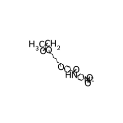 C=C(C)C(=O)OCCCCCCOc1ccc(C(=O)Nc2ccc([N+](=O)[O-])cc2)cc1